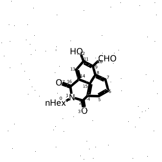 CCCCCCN1C(=O)c2cccc3c(C=O)c(O)cc(c23)C1=O